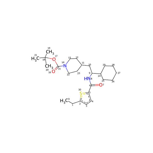 CCc1ccc(C(=O)NC(CC2CCN(C(=O)OC(C)(C)C)CC2)C2CCCCC2)s1